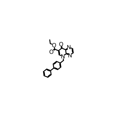 CCOC(=O)c1cn(Cc2ccc(-c3ccccc3)cc2)c2nccnc2c1=O